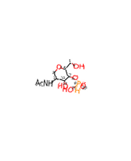 CC(=O)NC1COC(CO)C(O[PH](=O)O)C1O